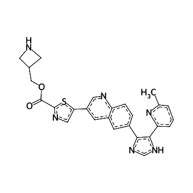 Cc1cccc(-c2[nH]cnc2-c2ccc3ncc(-c4cnc(C(=O)OCC5CNC5)s4)cc3c2)n1